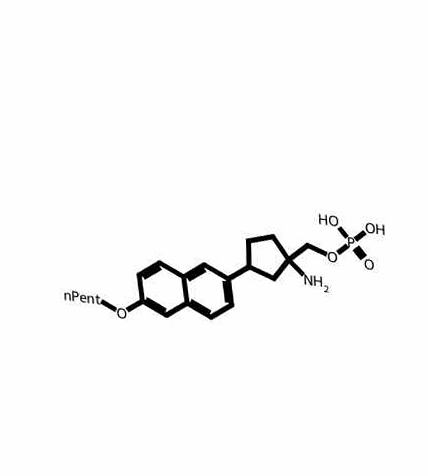 CCCCCOc1ccc2cc(C3CCC(N)(COP(=O)(O)O)C3)ccc2c1